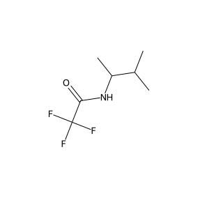 CC(C)C(C)NC(=O)C(F)(F)F